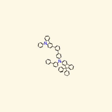 c1cccc(C2(C3=CCCC=C3)c3ccccc3-c3ccc(N(c4ccc(-c5cccc(-c6ccc7c(c6)c6ccccc6n7-c6ccccc6)c5)cc4)c4cccc(-c5ccccc5)c4)cc32)c#1